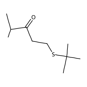 CC(C)C(=O)CCSC(C)(C)C